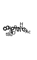 CC(=O)N1CCC(Nc2cc(OC3CC(OC(=O)C(C)(C)C)C(N4CCc5ccccc5C4)C3)ncn2)CC1